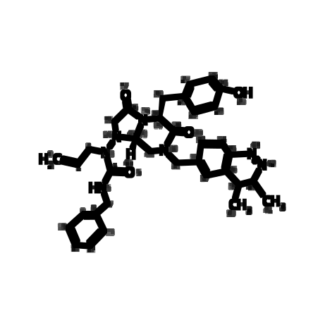 C=CCN(C(=O)NCc1ccccc1)N1CC(=O)N2[C@@H](Cc3ccc(O)cc3)C(=O)N(Cc3ccc4c(c3)C(C)C(C)N=N4)C[C@@H]21